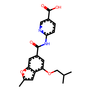 Cc1cc2c(OCC(C)C)cc(C(=O)Nc3ccc(C(=O)O)cn3)cc2o1